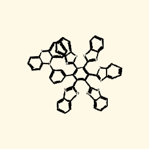 c1cc(-c2c(-c3nc4ccccc4o3)c(-c3nc4ccccc4o3)c(-c3nc4ccccc4o3)c(-c3nc4ccccc4o3)c2-c2nc3ccccc3o2)cc(N2c3ccccc3Sc3ccccc32)c1